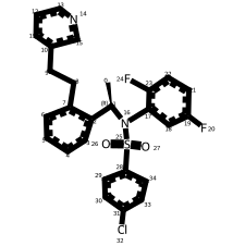 C[C@H](c1ccccc1C[CH]c1cccnc1)N(c1cc(F)ccc1F)S(=O)(=O)c1ccc(Cl)cc1